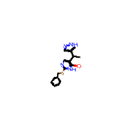 CC(c1cn[nH]c1)c1cnc(SCc2ccccc2)[nH]c1=O